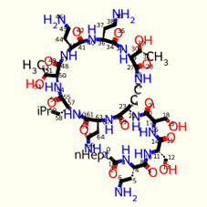 CCCCCCCC(=O)N[C@@H](CCN)C(=O)N[C@@H](CO)C(=O)NC(CO)C(=O)N[C@H]1CCNC(=O)[C@H]([C@@H](C)O)NC(=O)[C@H](CCN)NC(=O)[C@H](CCN)NC(=O)[C@H]([C@@H](C)O)NC(=O)[C@@H](CC(C)C)NC(=O)[C@H](CCN)NC1=O